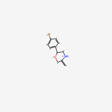 C=C1COC(c2ccc(Br)cc2)CN1